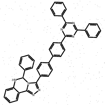 c1ccc(-c2nc(-c3ccccc3)nc(-c3ccc(-c4ccc(-c5nnc6n5C(c5ccccc5)Nc5ccccc5-6)cc4)cc3)n2)cc1